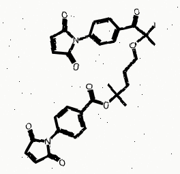 CC(C)(CCCOC(C)(I)C(=O)c1ccc(N2C(=O)C=CC2=O)cc1)OC(=O)c1ccc(N2C(=O)C=CC2=O)cc1